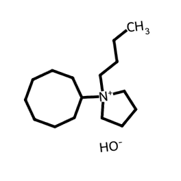 CCCC[N+]1(C2CCCCCCC2)CCCC1.[OH-]